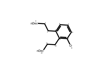 CCCCCCCCCCCCc1cccc([O])c1CCCCCCCCCCCC